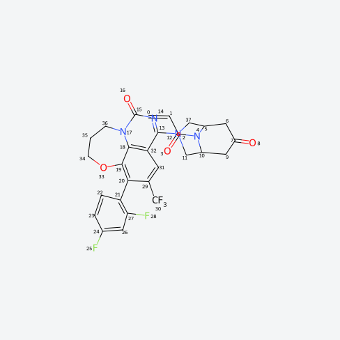 C=CC(=O)N1C2CC(=O)CC1CN(c1nc(=O)n3c4c(c(-c5ccc(F)cc5F)c(C(F)(F)F)cc14)OCCC3)C2